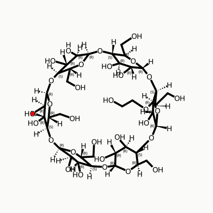 OCCO[C@@H]1[C@@H](O)[C@H]2O[C@H]3[C@H](O)[C@@H](O)[C@@H](O[C@H]4[C@H](O)[C@@H](O)[C@@H](O[C@H]5[C@H](O)[C@@H](O)[C@@H](O[C@H]6[C@H](O)[C@@H](O)[C@@H](O[C@H]7[C@H](O)[C@@H](O)[C@@H](O[C@H]1[C@@H](CO)O2)O[C@@H]7CO)O[C@@H]6CO)O[C@@H]5CO)O[C@@H]4CO)O[C@@H]3CO